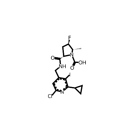 C[C@H]1[C@H](F)C[C@@H](C(=O)NCc2cc(Cl)nc(C3CC3)c2I)N1C(=O)O